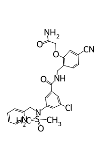 C=S(C)(=O)N(Cc1ccccn1)c1cc(Cl)cc(C(=O)NCc2ccc(C#N)cc2OCC(N)=O)c1